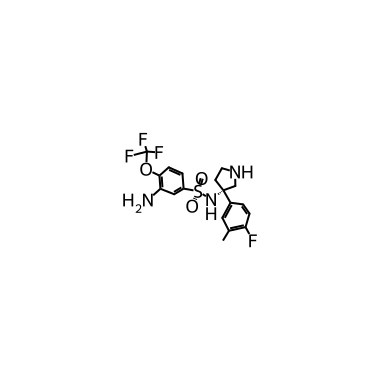 Cc1cc([C@@]2(NS(=O)(=O)c3ccc(OC(F)(F)F)c(N)c3)CCNC2)ccc1F